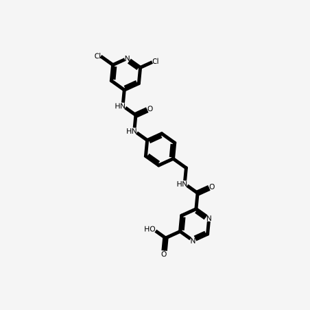 O=C(Nc1ccc(CNC(=O)c2cc(C(=O)O)ncn2)cc1)Nc1cc(Cl)nc(Cl)c1